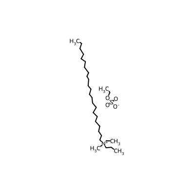 CCCCCCCCCCCCCCCCCCCCCCC[N+](C)(CC)CCC.CCOS(=O)(=O)[O-]